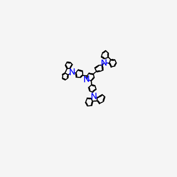 c1ccc2c(c1)c1ccccc1n2-c1ccc(-c2cc(-c3ccc(-n4c5ccccc5c5ccccc54)cc3)nc(-c3ccc(-n4c5ccccc5c5ccccc54)cc3)c2)cc1